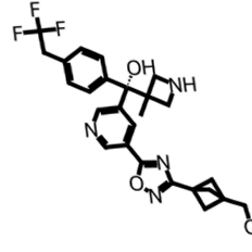 CC1([C@](O)(c2ccc(CC(F)(F)F)cc2)c2cncc(-c3nc(C45CC(CO)(C4)C5)no3)c2)CNC1